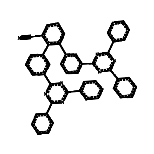 N#Cc1cccc(-c2cccc(-c3nc(-c4ccccc4)nc(-c4ccccc4)n3)c2)c1-c1cccc(-c2nc(-c3ccccc3)nc(-c3ccccc3)n2)c1